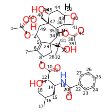 CC(=O)O[C@H]1C2=C(C)[C@@H](OC(=O)[C@H](O)[C@H](CC(C)C)NC(=O)c3ccccc3)C[C@@]2(C(C)(C)O)C[C@@H]2[C@]3(OC(C)=O)CO[C@@H]3C[C@H](O)[C@@]2(C)[C@H]1O